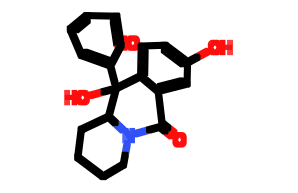 O=C1c2cc(O)cc(O)c2C(O)(c2ccccc2)C2CCCCN12